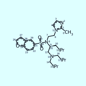 Cc1nccn1CCN([C@@H](CC(C)C)CN(CC(C)C)CC(C)C)S(=O)(=O)c1ccc2occc2c1